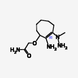 CN(N)/C1=C(\N)C(OCC(N)=O)CCCCC1